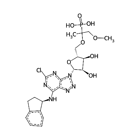 COCC(C)(OC[C@H]1O[C@@H](n2nnc3c(N[C@@H]4CCc5ccccc54)nc(Cl)nc32)[C@H](O)[C@@H]1O)P(=O)(O)O